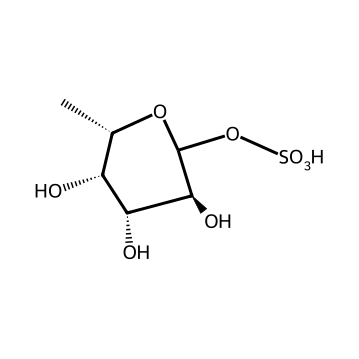 C[C@@H]1OC(OS(=O)(=O)O)[C@@H](O)[C@H](O)[C@@H]1O